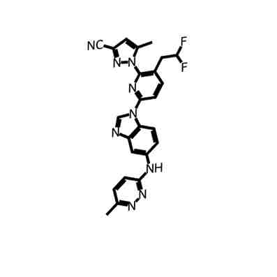 Cc1ccc(Nc2ccc3c(c2)ncn3-c2ccc(CC(F)F)c(-n3nc(C#N)cc3C)n2)nn1